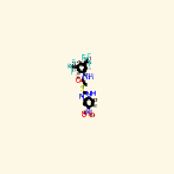 O=C(CSc1nc2cc([N+](=O)[O-])ccc2[nH]1)Nc1cc(C(F)(F)F)cc(C(F)(F)F)c1